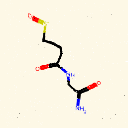 NC(=O)CNC(=O)CC[S+]=O